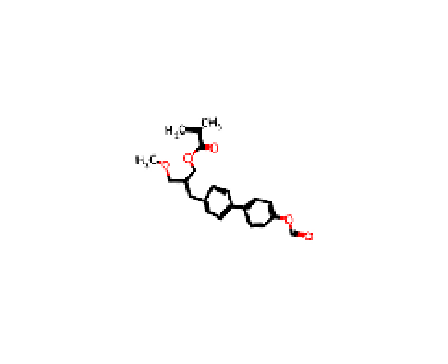 C=C(C)C(=O)OCC(COC)Cc1ccc(-c2ccc(OC=O)cc2)cc1